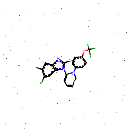 Cc1nc2cc(F)c(F)cc2n1C1=CC=CCN1c1ccc(OC(F)(F)F)cc1